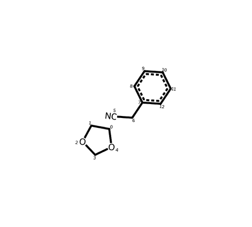 C1COCO1.N#CCc1ccccc1